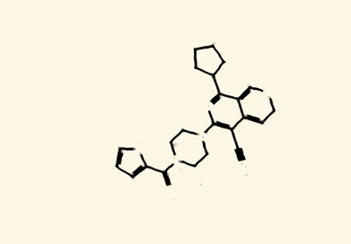 C[C@@H]1CN(c2nc(C3CCCC3)c3c(c2C#N)=CCOC=3)C[C@H](C)N1C(=O)c1ccco1